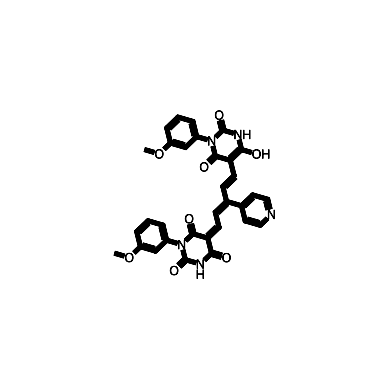 COc1cccc(N2C(=O)NC(=O)C(=CC=C(C=Cc3c(O)[nH]c(=O)n(-c4cccc(OC)c4)c3=O)c3ccncc3)C2=O)c1